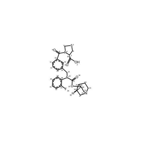 O=C(O)[C@@H]1CSCN1C(=O)c1cccc(CN(C(=O)O[C@H]2CN3CCC2CC3)c2ccccc2F)c1